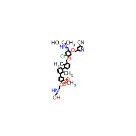 Cc1c(COc2cc(OCc3cncc(C#N)c3)c(CNC(C)C(=O)O)cc2Cl)cccc1-c1cccc(-c2ccc(OCCNCCO)c(S(C)(=O)=O)c2)c1C